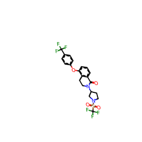 O=C1c2cccc(Oc3ccc(C(F)(F)F)cc3)c2CCN1C1CCN(S(=O)(=O)C(F)(F)F)C1